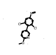 C=Nc1cc(Cl)c(-c2ccc(OC)nc2)c(Cl)c1